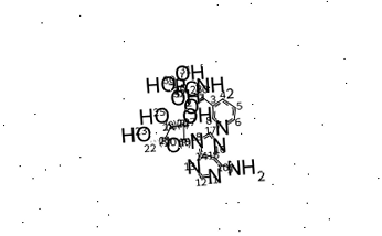 NC(=O)c1cccnc1.Nc1ncnc2c1ncn2[C@@H]1O[C@H](CO)[C@@H](O)[C@H]1O.O=P(O)(O)O